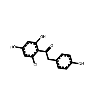 O=C(Cc1ccc(O)cc1)c1c(O)cc(O)cc1Cl